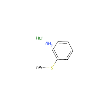 CCCSc1ccccc1.Cl.N